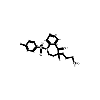 Cc1ccc(S(=O)(=O)N2CCC(C)(CCCC=O)C(=O)c3ccccc32)cc1